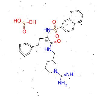 N=C(N)N1CCCC(CNC(=O)[C@@H](CCc2ccccc2)NS(=O)(=O)c2ccc3ccccc3c2)C1.O=S(O)O